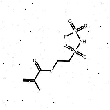 C=C(C)C(=O)OCCS(=O)(=O)NS(=O)(=O)F